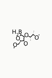 B[C@@H]1O[C@H](COC)C(OC)[C@@H]1O[C@@H](C)[C@H](C)OC